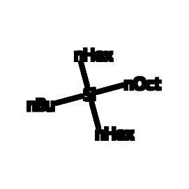 CCCCCCCC[Si](CCCC)(CCCCCC)CCCCCC